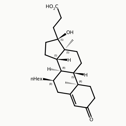 CCCCCC[C@@H]1CC2=CC(=O)CC[C@]2(C)[C@H]2CC[C@@]3(C)[C@@H](CC[C@]3(O)CCC(=O)O)[C@H]12